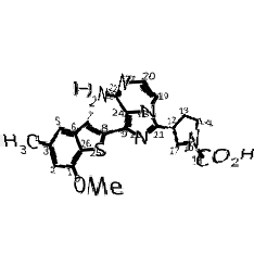 COc1cc(C)cc2cc(-c3nc([C@H]4CCN(C(=O)O)C4)n4ccnc(N)c34)sc12